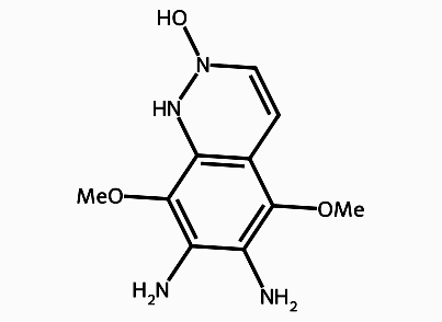 COc1c(N)c(N)c(OC)c2c1C=CN(O)N2